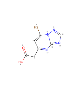 O=C(O)Cc1cc(S)n2ncnc2n1